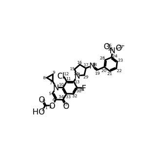 O=C(O)Oc1cn(C2CC2)c2c(Cl)c(N3CCC(N=Cc4cccc([N+](=O)[O-])c4)C3)c(F)cc2c1=O